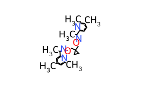 CC(=NOCC1(CON=C(C)c2ccc(C)c(C)n2)CC1)c1cc(C)cc(C)n1